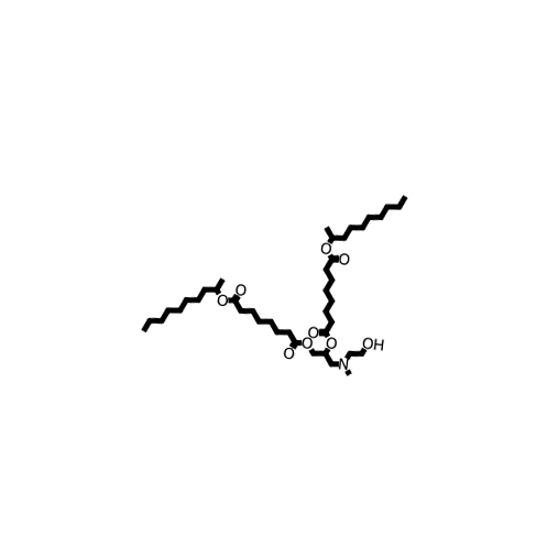 CCCCCCCCC(C)OC(=O)CCCCCCC(=O)OCC(CN(C)CCO)OC(=O)CCCCCCC(=O)OC(C)CCCCCCCC